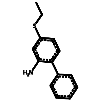 CCSc1ccc(-c2ccccc2)c(N)c1